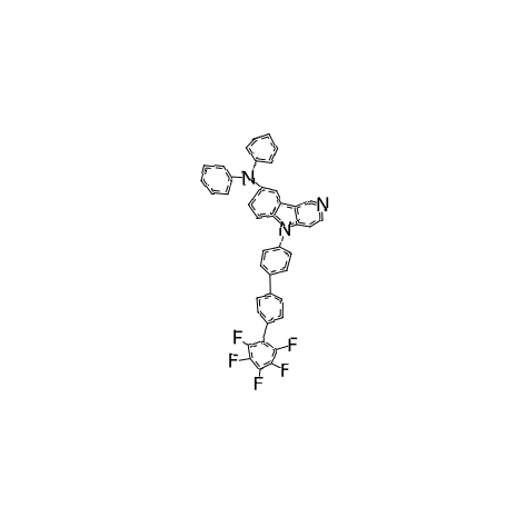 Fc1c(F)c(F)c(-c2ccc(-c3ccc(-n4c5ccncc5c5cc(N(c6ccccc6)c6ccccc6)ccc54)cc3)cc2)c(F)c1F